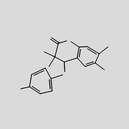 Cc1ccc(NC2c3cc(C)c(C)cc3NC(=O)C2(C)C)cc1